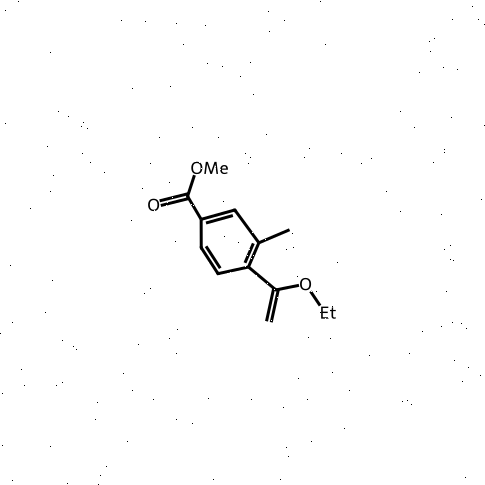 C=C(OCC)c1ccc(C(=O)OC)cc1C